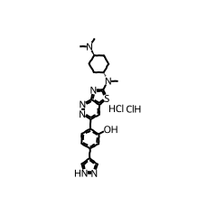 CN(C)[C@H]1CC[C@H](N(C)c2nc3nnc(-c4ccc(-c5cn[nH]c5)cc4O)cc3s2)CC1.Cl.Cl